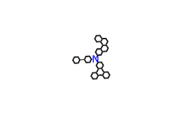 c1ccc(-c2ccc(N(c3ccc4c(ccc5ccc6ccccc6c54)c3)c3ccc4c5ccccc5c5ccccc5c4c3)cc2)cc1